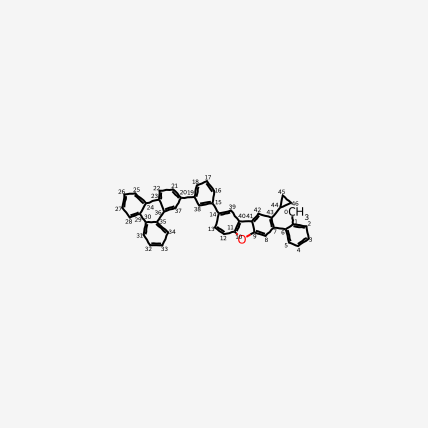 Cc1ccccc1-c1cc2oc3ccc(-c4cccc(-c5ccc6c7ccccc7c7ccccc7c6c5)c4)cc3c2cc1C1CC1